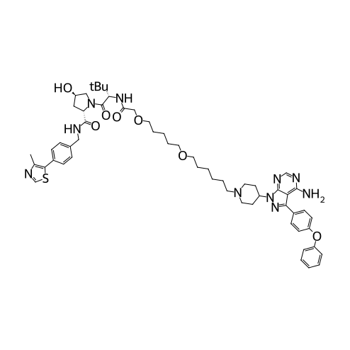 Cc1ncsc1-c1ccc(CNC(=O)[C@@H]2C[C@@H](O)CN2C(=O)[C@@H](NC(=O)COCCCCCOCCCCCCN2CCC(n3nc(-c4ccc(Oc5ccccc5)cc4)c4c(N)ncnc43)CC2)C(C)(C)C)cc1